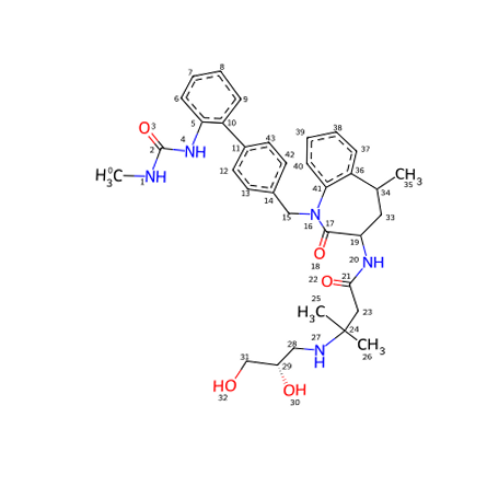 CNC(=O)Nc1ccccc1-c1ccc(CN2C(=O)C(NC(=O)CC(C)(C)NC[C@H](O)CO)CC(C)c3ccccc32)cc1